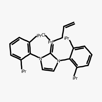 C=C[CH2][Pd]([Cl])=[c]1n(-c2c(C(C)C)cccc2C(C)C)ccn1-c1c(C(C)C)cccc1C(C)C